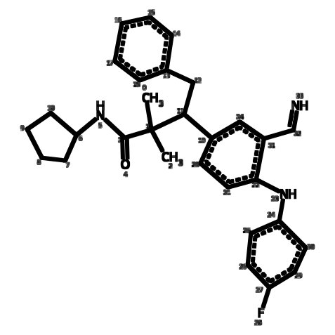 CC(C)(C(=O)NC1CCCC1)C(Cc1ccccc1)c1ccc(Nc2ccc(F)cc2)c(C=N)c1